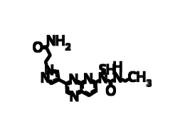 CCNC(=O)N(S)c1ccc2ncc(-c3cnn(CCC(N)=O)c3)nc2n1